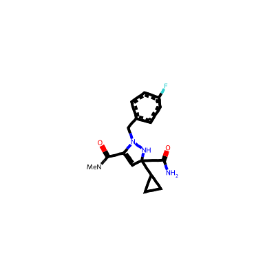 CNC(=O)C1=CC(C(N)=O)(C2CC2)NN1Cc1ccc(F)cc1